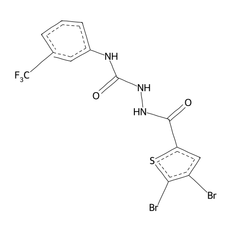 O=C(NNC(=O)c1cc(Br)c(Br)s1)Nc1cccc(C(F)(F)F)c1